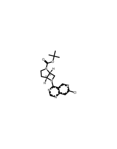 CC(C)(C)OC(=O)N1CC[C@@H]2[C@H]1CN2c1ncnc2cc(Cl)ncc12